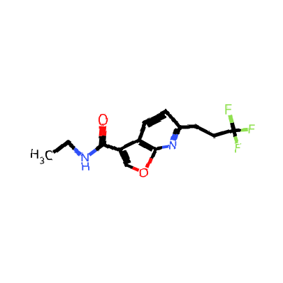 CCNC(=O)c1coc2nc(CCC(F)(F)F)ccc12